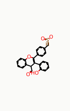 O=CC1C(c2ccccc2O)=C(c2ccc(C[SH](=O)=O)cc2)Oc2ccccc21